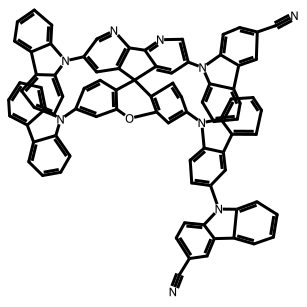 N#Cc1ccc2c(c1)c1ccccc1n2-c1cnc2c(c1)C1(c3ccc(-n4c5ccccc5c5ccccc54)cc3Oc3cc(-n4c5ccccc5c5cc(-n6c7ccccc7c7cc(C#N)ccc76)ccc54)ccc31)c1cc(-n3c4ccccc4c4ccccc43)cnc1-2